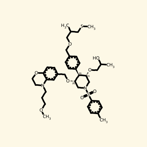 COCCCN1CCOc2ccc(CO[C@H]3CN(S(=O)(=O)c4ccc(C)cc4)C[C@@H](OCC(C)O)[C@@H]3c3ccc(COCC(C)CSC)cc3)cc21